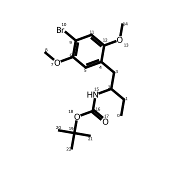 CCC(Cc1cc(OC)c(Br)cc1OC)NC(=O)OC(C)(C)C